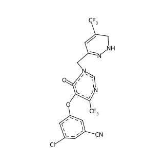 N#Cc1cc(Cl)cc(Oc2c(C(F)(F)F)ncn(CC3=NNCC(C(F)(F)F)=C3)c2=O)c1